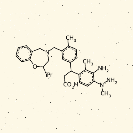 Cc1ccc(C(CC(=O)O)c2ccc(N(C)N)c(N)c2C)cc1CN1Cc2ccccc2OC(C(C)C)C1